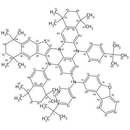 CC(C)(C)c1ccc(N(c2cc3c4c(c2)N(c2ccc5c(c2)C(C)(C)CCC5(C)C)c2c(sc5cc6c(cc25)C(C)(C)CCC6(C)C)B4c2cc4c(cc2N3c2ccc(C(C)(C)C)cc2)C(C)(C)CCC4(C)C)c2ccc3oc4ccccc4c3c2)cc1